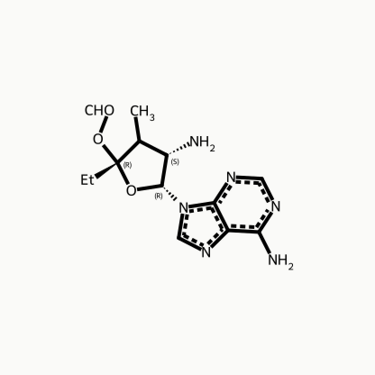 CC[C@]1(OC=O)O[C@@H](n2cnc3c(N)ncnc32)[C@@H](N)C1C